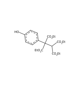 CCOC(=O)C(C(=O)OCC)C(C(=O)OCC)(C(=O)OCC)c1ccc(O)cc1